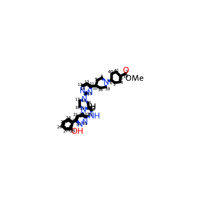 COC(=O)C1CCC(N2CCC(c3ccnc(N4CCN5c6cc(-c7ccccc7O)nnc6NC[C@@H]5C4)n3)CC2)CC1